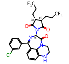 O=C1[C@H](N2C(=O)[C@@H](CCC(F)(F)F)[C@@H](CCC(F)(F)F)C2=O)N=C(c2cccc(Cl)c2)c2cccc3c2N1CCN3